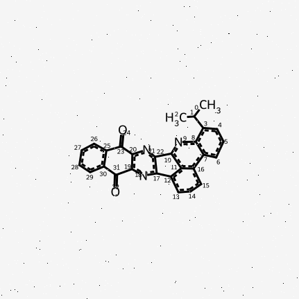 CC(C)c1cccc2c1nc1c3c(cccc32)-c2nc3c(nc2-1)C(=O)c1ccccc1C3=O